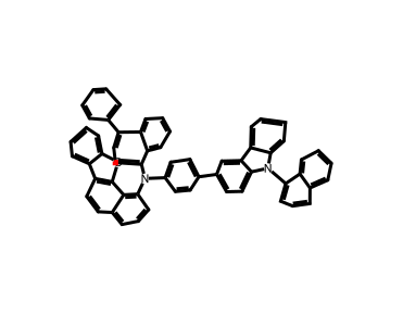 c1ccc(-c2ccc(N(c3ccc(-c4ccc5c(c4)c4ccccc4n5-c4cccc5ccccc45)cc3)c3cccc4ccc5c6ccccc6oc5c34)c3ccccc23)cc1